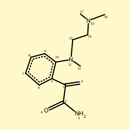 C=C(C(N)=O)c1ccccc1N(C)CCN(C)C